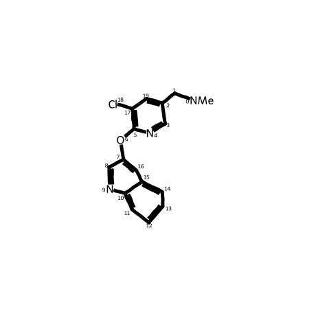 CNCc1cnc(Oc2cnc3ccccc3c2)c(Cl)c1